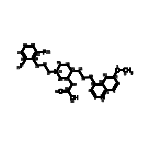 COc1ccc2nccc(CCC[C@@H]3CCN(CCCc4c(F)cccc4F)C[C@@H]3CC(=O)O)c2c1